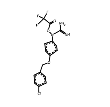 N=C(N)N(OC(=O)C(F)(F)F)c1ccc(OCc2ccc(Cl)cc2)cc1